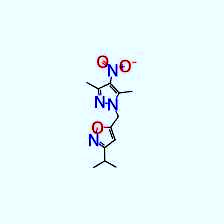 Cc1nn(Cc2cc(C(C)C)no2)c(C)c1[N+](=O)[O-]